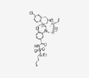 C=CCC[C@@H](CC)S(=O)(=O)NC(=O)c1ccc2c(c1)N(C[C@H]1CC[C@]1(C)[C@H](O)C=C)C[C@@]1(CCCc3cc(Cl)ccc31)CO2